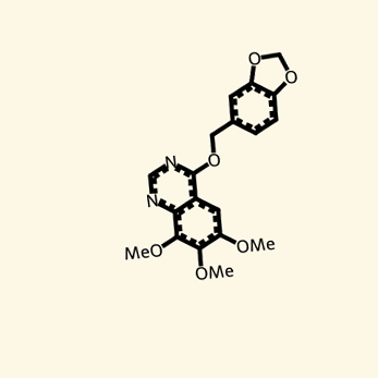 COc1cc2c(OCc3ccc4c(c3)OCO4)ncnc2c(OC)c1OC